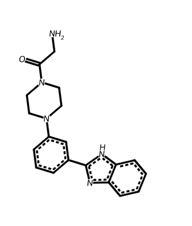 NCC(=O)N1CCN(c2cccc(-c3nc4ccccc4[nH]3)c2)CC1